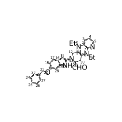 CCNc1cccnc1N(CC)C1CCN(c2cc3ccc(OCc4ccccc4)cc3[nH]2)C(C=O)C1